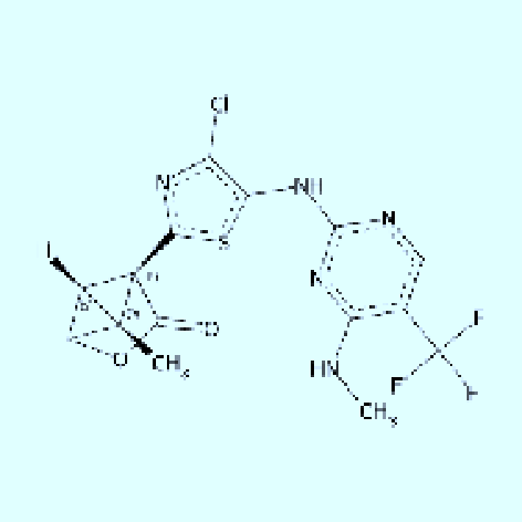 CNc1nc(Nc2sc([C@]34C(=O)OC5[C@H]3[C@@]54C)nc2Cl)ncc1C(F)(F)F